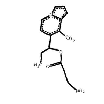 CCC(OC(=O)CCN)c1ccn2cccc2c1C